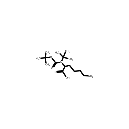 CC(C)(C)OC(=O)N(C(CCCCN)C(=O)O)C(C)(C)C